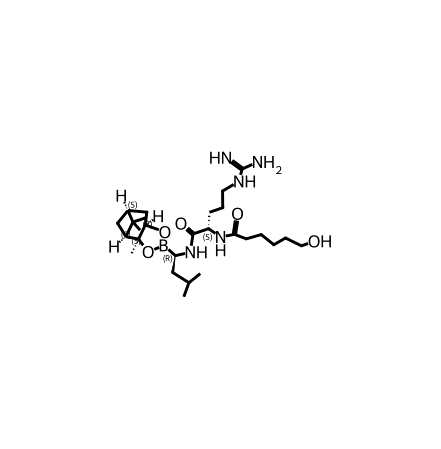 CC(C)C[C@H](NC(=O)[C@H](CCCNC(=N)N)NC(=O)CCCCCO)B1O[C@@H]2C[C@@H]3C[C@@H](C3(C)C)[C@]2(C)O1